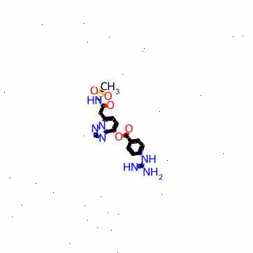 CS(=O)(=O)NC(=O)Cc1ccc(OC(=O)c2ccc(NC(=N)N)cc2)c2ncnn12